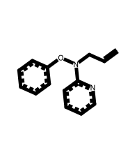 C=CCN(Oc1ccccc1)c1ccccn1